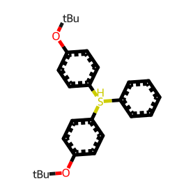 CC(C)(C)Oc1ccc([SH](c2ccccc2)c2ccc(OC(C)(C)C)cc2)cc1